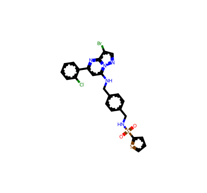 O=S(=O)(NCc1ccc(CNc2cc(-c3ccccc3Cl)nc3c(Br)cnn23)cc1)c1cccs1